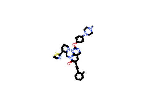 Cc1ccccc1C#Cc1cc2cnc(Oc3ccc(N4CCN(C)CC4)cc3)nc2n(Cc2ncccc2-c2nccs2)c1=O